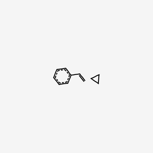 C1CC1.C=Cc1ccccc1